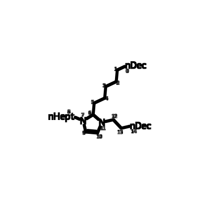 CCCCCCCCCCCCCCCC1N(CCCCCCC)C=CN1CCCCCCCCCCCC